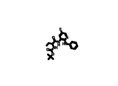 CCC(NC(=O)OC(C)(C)C)C(=O)Nc1cc(F)cnc1Nc1ccccc1